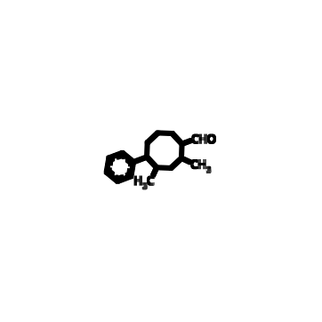 CC1CC(C)C(c2ccccc2)CCCC1C=O